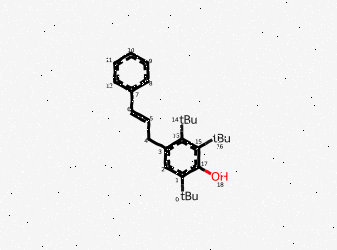 CC(C)(C)c1cc(C/C=C/c2ccccc2)c(C(C)(C)C)c(C(C)(C)C)c1O